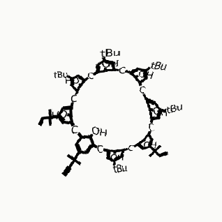 C#CC(C)(C)C1=CC2CC3C=C(C(C)(C)C=C)C=C(CC4C=C(C(C)(C)C)C=C(CC5=CC(C(C)(C)C)=CC(CC6=CC(C(C)(C)C)=CC(CC7=CC(C(C)(C)C)=CC(CC8C=C(C(C)(C)C=C)C=C(CC9C=C(C(C)(C)C)C=C(CC(=C1)C2O)C9O)C8O)C7O)C6O)C5O)C4O)C3O